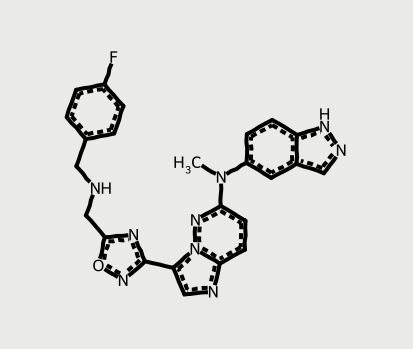 CN(c1ccc2[nH]ncc2c1)c1ccc2ncc(-c3noc(CNCc4ccc(F)cc4)n3)n2n1